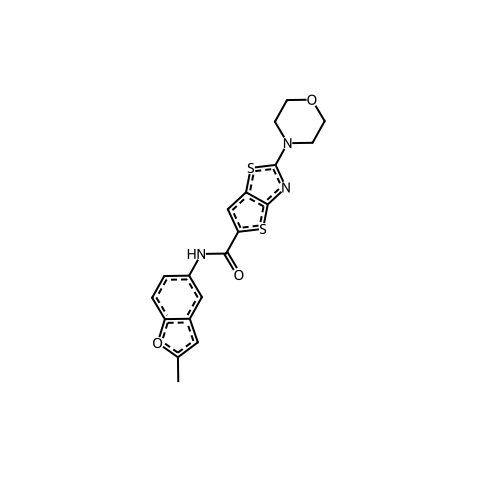 Cc1cc2cc(NC(=O)c3cc4sc(N5CCOCC5)nc4s3)ccc2o1